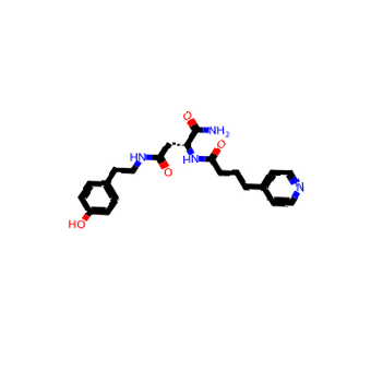 NC(=O)[C@@H](CC(=O)NCCc1ccc(O)cc1)NC(=O)CCCc1ccncc1